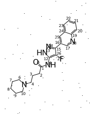 O=C(CCCN1CCCCC1)Nc1[nH]nc(-c2cnc3ccccc3c2)c1F